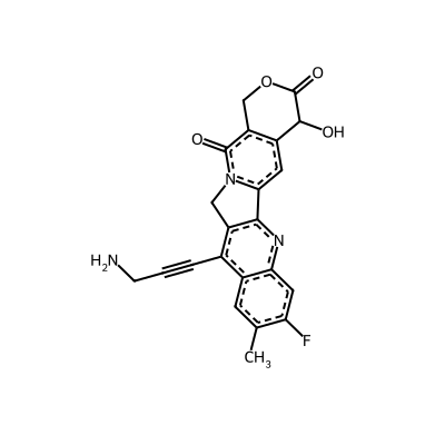 Cc1cc2c(C#CCN)c3c(nc2cc1F)-c1cc2c(c(=O)n1C3)COC(=O)C2O